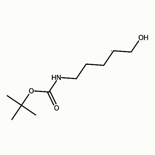 CC(C)(C)OC(=O)NCCC[CH]CO